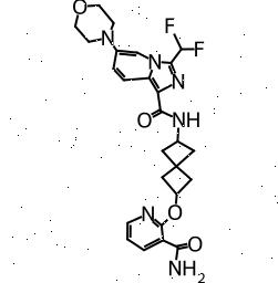 NC(=O)c1cccnc1OC1CC2(CC(NC(=O)c3nc(C(F)F)n4cc(N5CCOCC5)ccc34)C2)C1